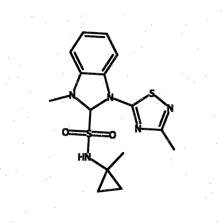 Cc1nsc(N2c3ccccc3N(C)C2S(=O)(=O)NC2(C)CC2)n1